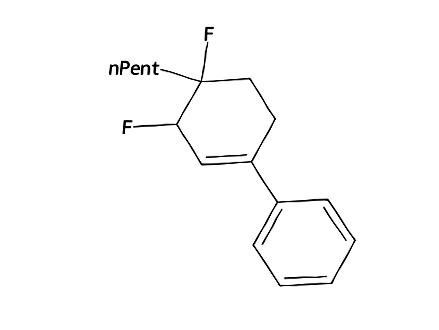 CCCCCC1(F)CCC(c2ccccc2)=CC1F